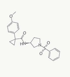 COc1ccc(C2(C(=O)N[C@H]3CCN(S(=O)(=O)c4ccccc4)C3)CC2)cc1